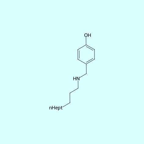 CCCCCCCCCCNCc1ccc(O)cc1